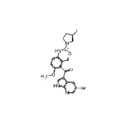 COc1ccc(N[S+]([O-])N2CCC(F)C2)c(F)c1C(=O)c1c[nH]c2ncc(Br)cc12